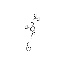 ClC(Cl)=CCOc1ccc(OCCCCCN2CCCCC2)cc1Cl